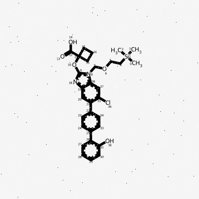 C[Si](C)(C)CCOCn1c(OC2(C(=O)O)CCC2)nc2cc(-c3ccc(-c4ccccc4O)cc3)c(Cl)cc21